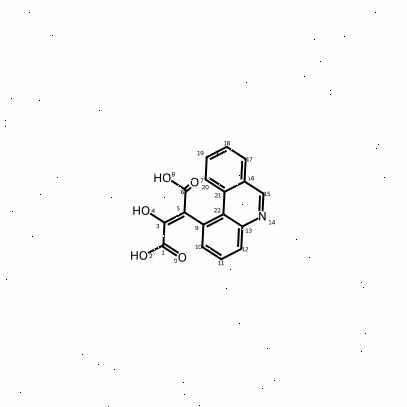 O=C(O)/C(O)=C(/C(=O)O)c1cccc2ncc3ccccc3c12